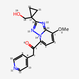 COc1ccc(C(=O)Cc2ccncc2)n2nc(C3(CO)CC3)nc12